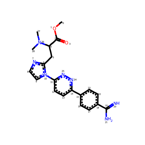 COC(=O)C(Cc1nccn1-c1ccc(-c2ccc(C(=N)N)cc2)nn1)N(C)C